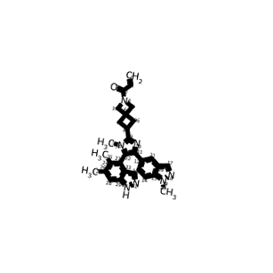 C=CC(=O)N1CC2(CC(c3nc(-c4ccc5c(cnn5C)c4)c(-c4c(C)c(C)cc5[nH]ncc45)n3C)C2)C1